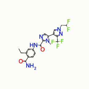 CCc1cc(NC(=O)c2ncc(-c3cn(CC(F)F)nc3C(F)(F)F)n2C)ccc1C(N)=O